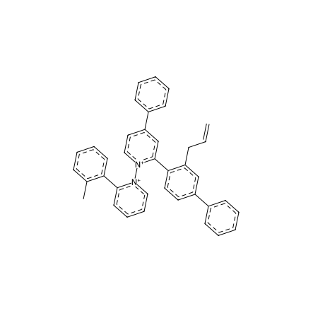 C=CCc1cc(-c2ccccc2)ccc1-c1cc(-c2ccccc2)cc[n+]1-[n+]1ccccc1-c1ccccc1C